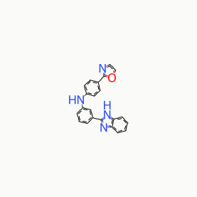 c1cc(Nc2ccc(-c3ncco3)cc2)cc(-c2nc3ccccc3[nH]2)c1